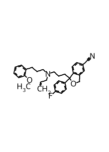 C=CCN(CCCc1ccccc1OC)CCCC1(c2ccc(F)cc2)OCc2cc(C#N)ccc21